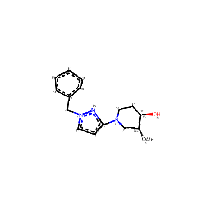 CO[C@H]1CN(c2ccn(Cc3ccccc3)n2)CC[C@H]1O